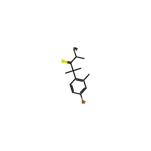 Cc1cc(Br)ccc1C(C)(C)C(=S)C(C)C(C)C